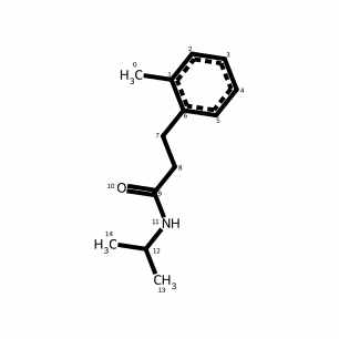 Cc1ccccc1CCC(=O)NC(C)C